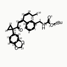 CC(C)(C)OC(=O)NCc1cccc(C(=CC(=O)C2(c3ccc4c(c3)OCO4)CC2)/C=C\CI)c1